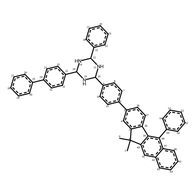 CC1(C)c2cc(-c3ccc(C4NC(c5ccccc5)NC(c5ccc(-c6ccccc6)cc5)N4)cc3)ccc2-c2c1cc1ccccc1c2-c1ccccc1